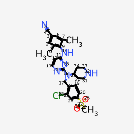 Cc1cc(C#N)cc(C)c1Nc1ccnc(N(Cc2ccc(S(C)(=O)=O)cc2Cl)C2CCNCC2)n1